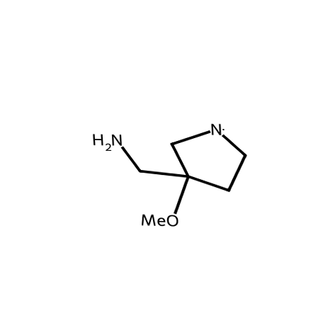 COC1(CN)CC[N]C1